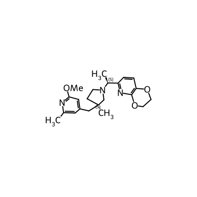 COc1cc(C[C@@]2(C)CCN([C@@H](C)c3ccc4c(n3)OCCO4)C2)cc(C)n1